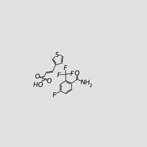 NC(=O)c1ccc(F)cc1C(F)(F)F.O=S(=O)(O)C=Cc1ccsc1